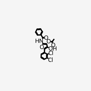 CC(=O)Oc1c(NC(=O)c2ccccc2)oc(-c2cccc(Cl)c2Cl)c1O